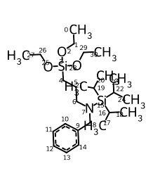 CCO[Si](CCCN(Cc1ccccc1)[Si](C(C)C)(C(C)C)C(C)C)(OCC)OCC